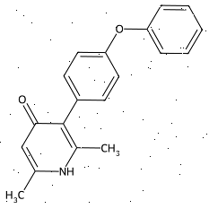 Cc1cc(=O)c(-c2ccc(Oc3ccccc3)cc2)c(C)[nH]1